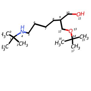 CC(C)(C)NCCCCC(CO)COC(C)(C)C